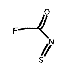 O=C(F)N=S